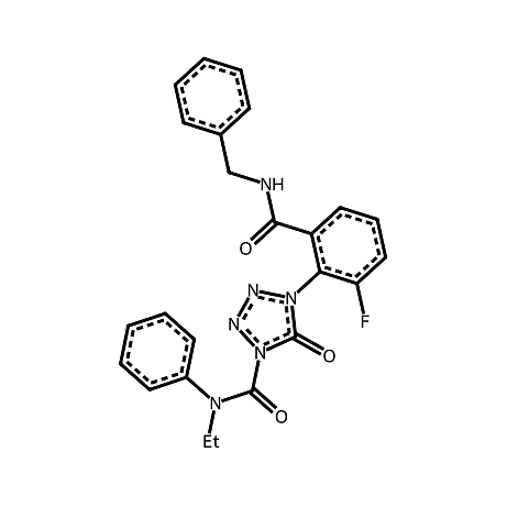 CCN(C(=O)n1nnn(-c2c(F)cccc2C(=O)NCc2ccccc2)c1=O)c1ccccc1